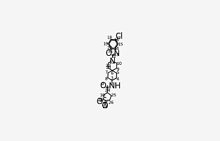 O=C(NC1CCC2(CC1)CCN(c1nc3cc(Cl)ccc3o1)CC2)C1CCS(=O)(=O)C1